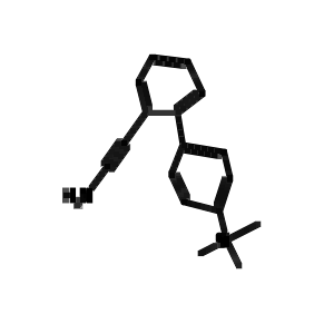 C[Si](C)(C)c1ccc(-c2ccccc2C#CN)cc1